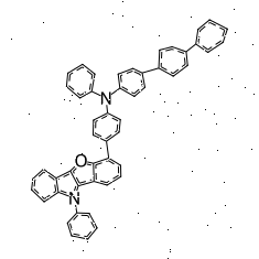 c1ccc(-c2ccc(-c3ccc(N(c4ccccc4)c4ccc(-c5cccc6c5oc5c7ccccc7n(-c7ccccc7)c65)cc4)cc3)cc2)cc1